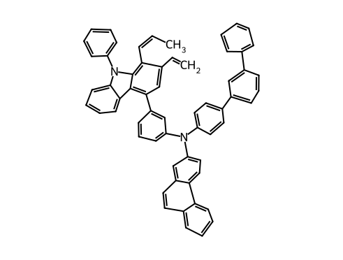 C=Cc1cc(-c2cccc(N(c3ccc(-c4cccc(-c5ccccc5)c4)cc3)c3ccc4c(ccc5ccccc54)c3)c2)c2c3ccccc3n(-c3ccccc3)c2c1/C=C\C